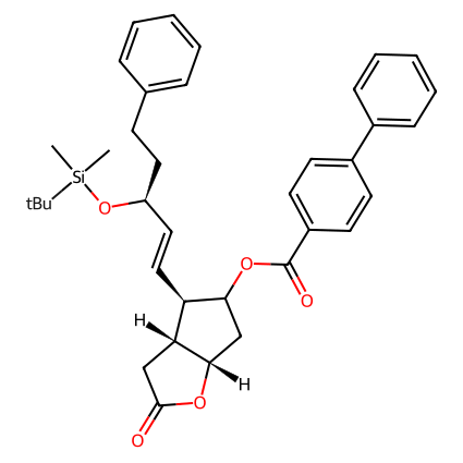 CC(C)(C)[Si](C)(C)O[C@H](/C=C/[C@H]1C(OC(=O)c2ccc(-c3ccccc3)cc2)C[C@@H]2OC(=O)C[C@@H]21)CCc1ccccc1